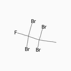 CC(Br)(Br)C(F)(Br)Br